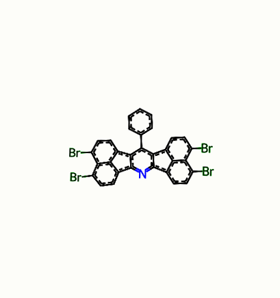 Brc1ccc2c3nc4c5ccc(Br)c6c(Br)ccc(c4c(-c4ccccc4)c3c3ccc(Br)c1c23)c65